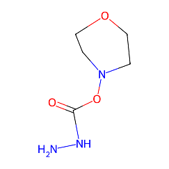 NNC(=O)ON1CCOCC1